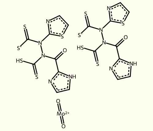 O=C(c1ncc[nH]1)N(C(=S)S)N(C(=S)[S-])c1nccs1.O=C(c1ncc[nH]1)N(C(=S)S)N(C(=S)[S-])c1nccs1.[O]=[Mo+2]=[O]